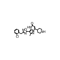 Cc1nn2c(C3CCNCC3)cc(=O)[nH]c2c1-c1nc(Cc2ccccc2Cl)no1